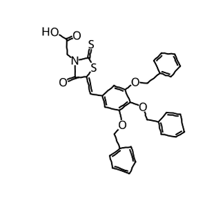 O=C(O)CN1C(=O)C(=Cc2cc(OCc3ccccc3)c(OCc3ccccc3)c(OCc3ccccc3)c2)SC1=S